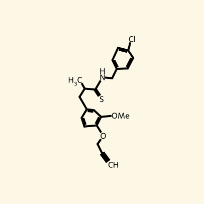 C#CCOc1ccc(CC(C)C(=S)NCc2ccc(Cl)cc2)cc1OC